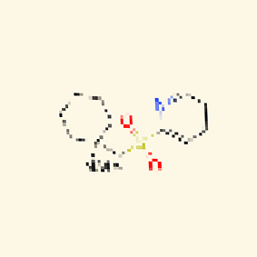 CNC1(CS(=O)(=O)c2ccccn2)CCCCC1